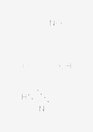 O=[N+]([O-])c1ccc(-c2ccc(-[n+]3nnc[nH]3)c(I)c2O)cc1.[Cl-]